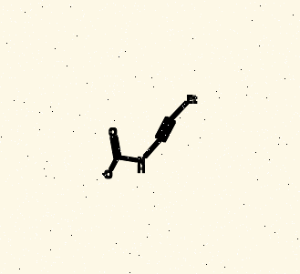 CCC#CNC([O])=O